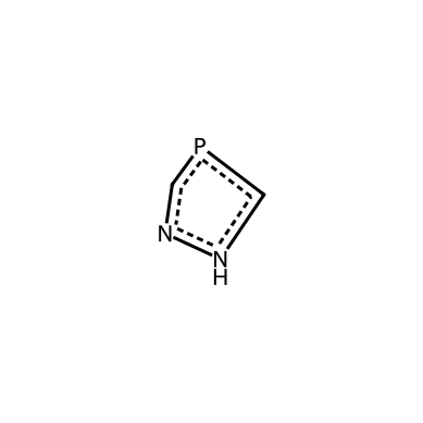 c1n[nH]cp1